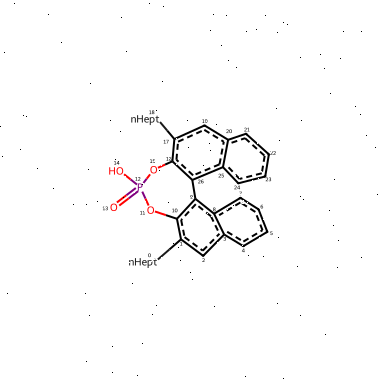 CCCCCCCc1cc2ccccc2c2c1OP(=O)(O)Oc1c(CCCCCCC)cc3ccccc3c1-2